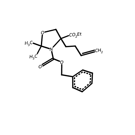 C=CCCC1(C(=O)OCC)COC(C)(C)N1C(=O)OCc1ccccc1